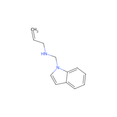 C=CCNCn1ccc2ccccc21